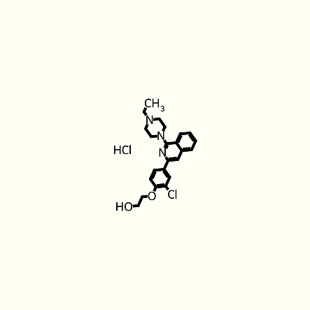 CCN1CCN(c2nc(-c3ccc(OCCO)c(Cl)c3)cc3ccccc23)CC1.Cl